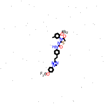 Cc1ccc(OC(C)(C)C)c(N2C(=O)CSC2=NC(=O)Nc2ccc(CCc3ncn(-c4ccc(OC(F)(F)F)cc4)n3)cc2)c1